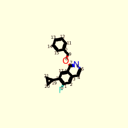 Fc1cc2ccnc(OCc3ccccc3)c2cc1C1CC1